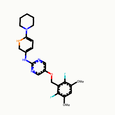 COc1cc(OC)c(F)c(COc2cnc(NC3=CC=C(N4CCCCC4)PC3)nc2)c1F